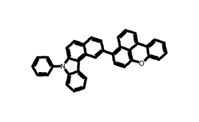 c1ccc(-n2c3ccccc3c3c4cc(-c5ccc6c7c(cccc57)-c5ccccc5O6)ccc4ccc32)cc1